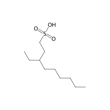 CCCCCCC(CC)CCS(=O)(=O)O